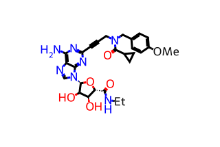 CCNC(=O)[C@H]1O[C@@H](n2cnc3c(N)nc(C#CCN(Cc4ccc(OC)cc4)C(=O)C4CC4)nc32)C(O)[C@@H]1O